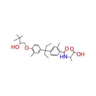 CCC(CC)(c1ccc(OCC(O)C(C)(C)C)c(C)c1)c1ccc(C(=O)NC(C)C(=O)O)c(C)c1